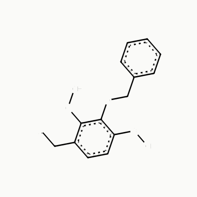 COc1ccc(CCl)c(OC)c1OCc1ccccc1